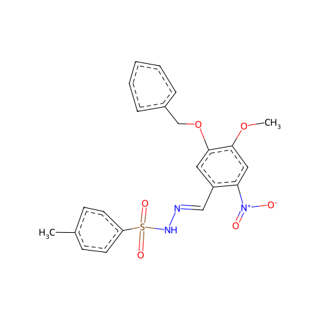 COc1cc([N+](=O)[O-])c(C=NNS(=O)(=O)c2ccc(C)cc2)cc1OCc1ccccc1